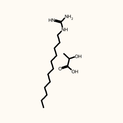 CC(O)C(=O)O.CCCCCCCCCCCCNC(=N)N